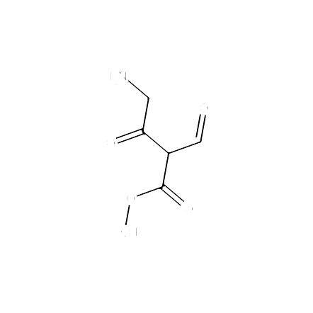 COC(=O)C([C]=O)C(=O)CN